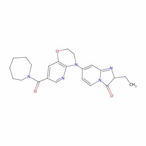 CCC1N=C2C=C(N3CCOc4cc(C(=O)N5CCCCCC5)cnc43)C=CN2C1=O